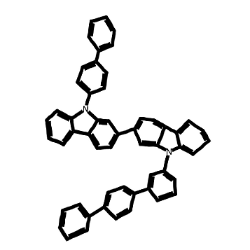 c1ccc(-c2ccc(-c3cccc(-n4c5ccccc5c5ccc(-c6ccc7c8ccccc8n(-c8ccc(-c9ccccc9)cc8)c7c6)cc54)c3)cc2)cc1